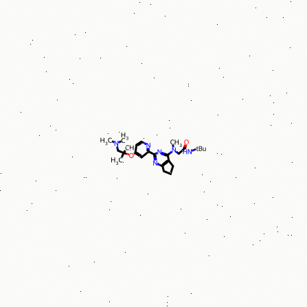 CN(C)CC(C)(C)Oc1ccnc(-c2nc3c(c(N(C)CC(=O)NC(C)(C)C)n2)CCC3)c1